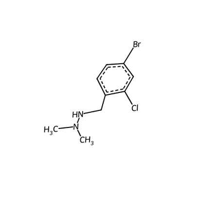 CN(C)NCc1ccc(Br)cc1Cl